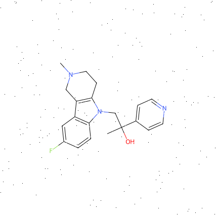 CN1CCc2c(c3cc(F)ccc3n2CC(C)(O)c2ccncc2)C1